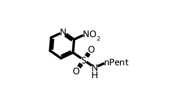 CCCCCNS(=O)(=O)c1cccnc1[N+](=O)[O-]